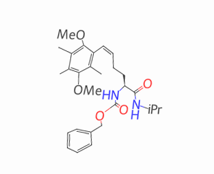 COc1c(C)c(C)c(OC)c(/C=C\CC[C@H](NC(=O)OCc2ccccc2)C(=O)NC(C)C)c1C